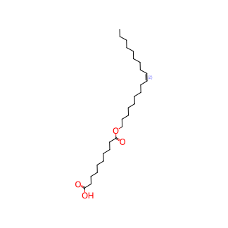 CCCCCCCC/C=C\CCCCCCCCOC(=O)CCCCCCCCC(=O)O